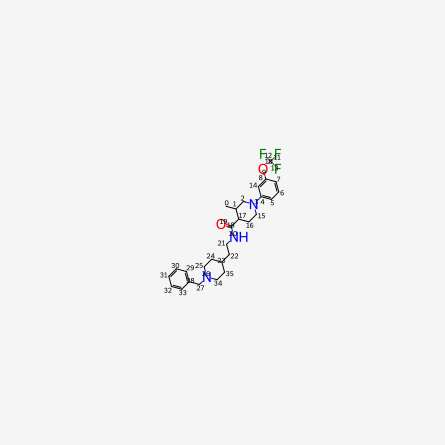 CC1CN(c2cccc(OC(F)(F)F)c2)CCC1C(=O)NCCC1CCN(Cc2ccccc2)CC1